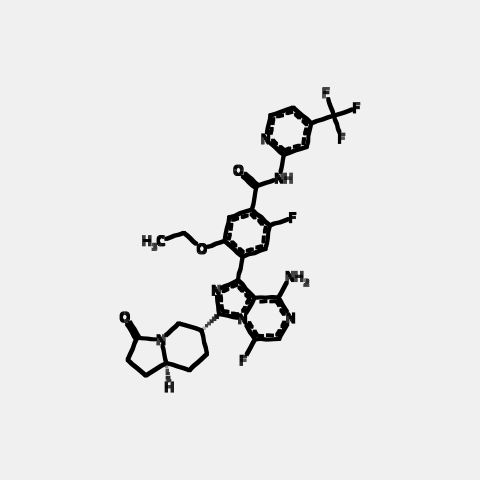 CCOc1cc(C(=O)Nc2cc(C(F)(F)F)ccn2)c(F)cc1-c1nc([C@@H]2CC[C@H]3CCC(=O)N3C2)n2c(F)cnc(N)c12